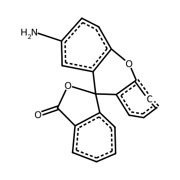 Nc1ccc2c(c1)C1(OC(=O)c3ccccc31)c1ccccc1O2